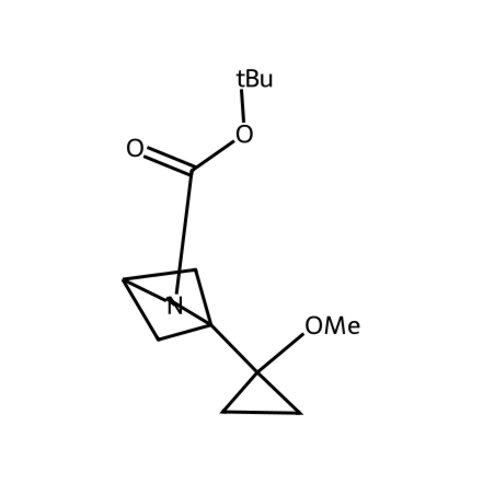 COC1(C23CC(C2)N(C(=O)OC(C)(C)C)C3)CC1